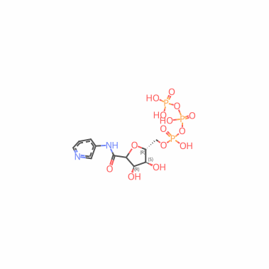 O=C(Nc1cccnc1)C1O[C@H](COP(=O)(O)OP(=O)(O)OP(=O)(O)O)[C@@H](O)[C@H]1O